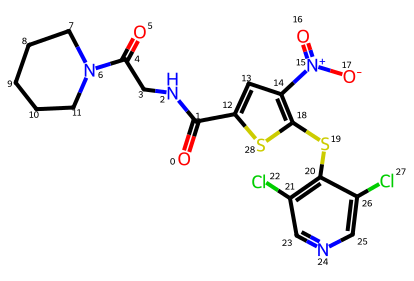 O=C(NCC(=O)N1CCCCC1)c1cc([N+](=O)[O-])c(Sc2c(Cl)cncc2Cl)s1